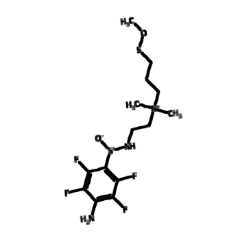 COSCCC[N+](C)(C)CCN[S+]([O-])c1c(F)c(F)c(N)c(F)c1F